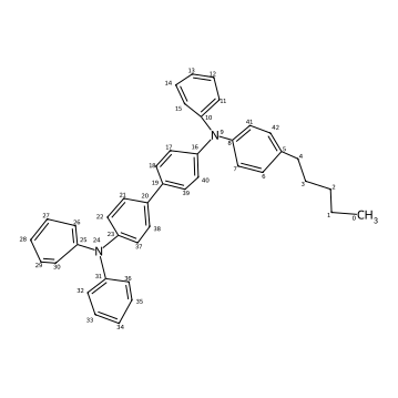 CCCCCc1ccc(N(c2ccccc2)c2ccc(-c3ccc(N(c4ccccc4)c4ccccc4)cc3)cc2)cc1